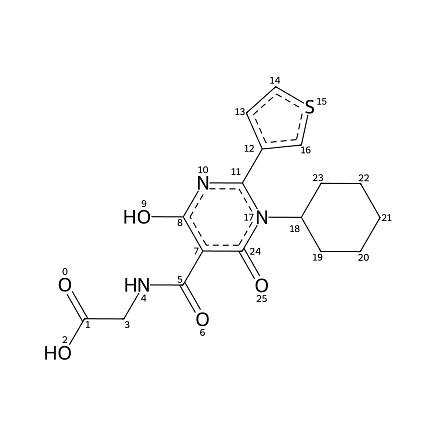 O=C(O)CNC(=O)c1c(O)nc(-c2ccsc2)n(C2CCCCC2)c1=O